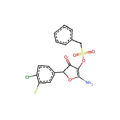 NC1=C(OS(=O)(=O)Cc2ccccc2)C(=O)C(c2ccc(Cl)c(F)c2)O1